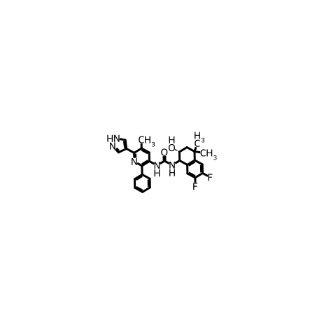 Cc1cc(NC(=O)NC2c3cc(F)c(F)cc3C(C)(C)C[C@H]2O)c(-c2ccccc2)nc1-c1cn[nH]c1